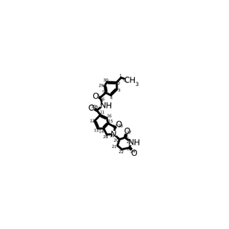 CCc1ccc(C(=O)NC(=O)c2ccc3c(c2)C(=O)N(C2CCC(=O)NC2=O)C3)cc1